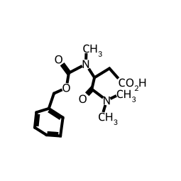 CN(C)C(=O)C(CC(=O)O)N(C)C(=O)OCc1ccccc1